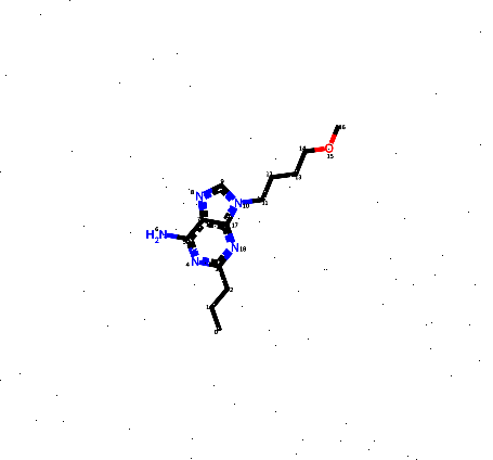 CCCc1nc(N)c2ncn(CCCCOC)c2n1